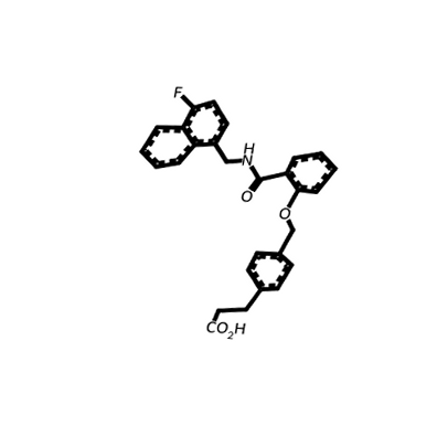 O=C(O)CCc1ccc(COc2ccccc2C(=O)NCc2ccc(F)c3ccccc23)cc1